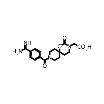 N=C(N)c1ccc(C(=O)N2CCC3(CCN(CC(=O)O)C(=O)O3)CC2)cc1